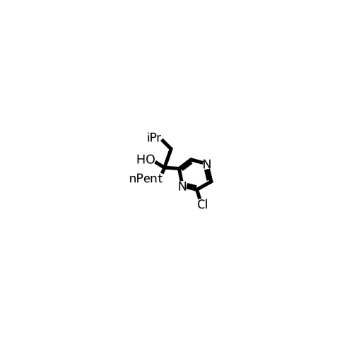 CCCCCC(O)(CC(C)C)c1cncc(Cl)n1